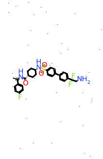 C[C@@H](NC(=O)[C@H]1CC[C@H](NS(=O)(=O)c2ccc(-c3ccc(C(F)(F)CN)cc3)cc2)CC1)c1ccc(F)cc1